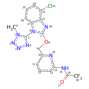 Cn1nnnc1-n1c(OCc2cccc(NC(=O)C(F)(F)F)n2)nc2c(Cl)cccc21